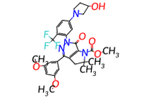 COC(=O)N1c2c(c(-c3cc(OC)cc(OC)c3)nn(-c3cc(N4CCC(O)C4)ccc3C(F)(F)F)c2=O)CC1(C)C